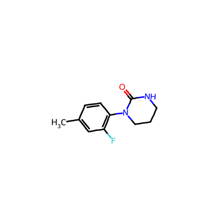 Cc1ccc(N2CCCNC2=O)c(F)c1